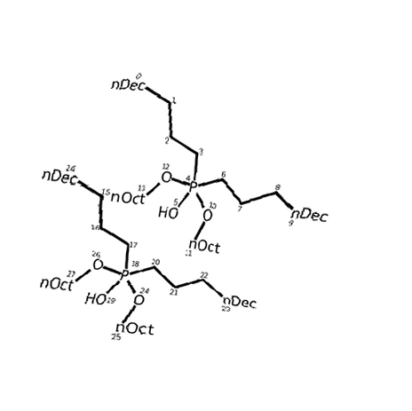 CCCCCCCCCCCCCP(O)(CCCCCCCCCCCCC)(OCCCCCCCC)OCCCCCCCC.CCCCCCCCCCCCCP(O)(CCCCCCCCCCCCC)(OCCCCCCCC)OCCCCCCCC